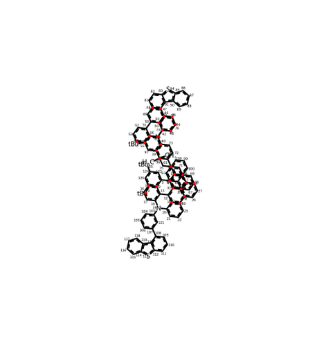 CC(C)(C)c1cc(-c2cccc3cccc(-c4ccccc4N(c4cccc(-c5cccc6c5ccc5c(CC(C)(C)c7cc(-c8cccc9cccc(-c%10ccccc%10N(c%10ccc(-c%11ccc%12ccccc%12c%11)cc%10)c%10cccc(-c%11cccc%12sc%13ccccc%13c%11%12)c%10)c89)cc(C(C)(C)C)c7)cccc56)c4)c4cccc(-c5cccc6sc7ccccc7c56)c4)c23)cc(C(C)(C)C)c1